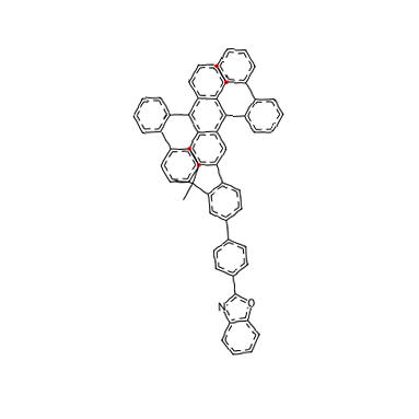 CC1(C)c2cc(-c3ccc(-c4nc5ccccc5o4)cc3)ccc2-c2cc3c(-c4ccccc4-c4ccccc4)c4ccccc4c(-c4ccccc4-c4ccccc4)c3cc21